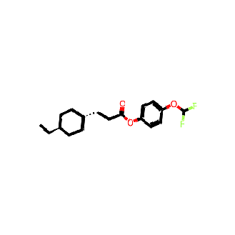 CC[C@H]1CC[C@H](CCC(=O)Oc2ccc(OC(F)F)cc2)CC1